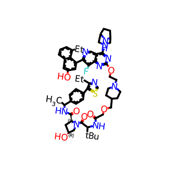 CCc1ncsc1-c1ccc(C(C)NC(=O)[C@@H]2C[C@@H](O)CN2C(=O)C(NC(=O)COCC2CCN(CCOc3nc(N4CC5CCC(C4)N5)c4cnc(-c5cc(O)cc6cccc(CC)c56)c(F)c4n3)CC2)C(C)(C)C)cc1